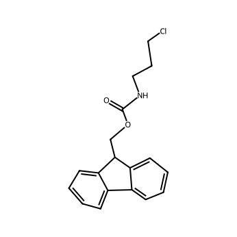 O=C(NCCCCl)OCC1c2ccccc2-c2ccccc21